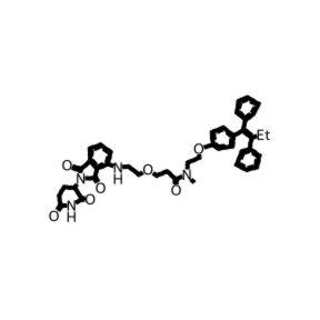 CCC(=C(c1ccccc1)c1ccc(OCCN(C)C(=O)CCOCCNc2cccc3c2C(=O)N(C2CCC(=O)NC2=O)C3=O)cc1)c1ccccc1